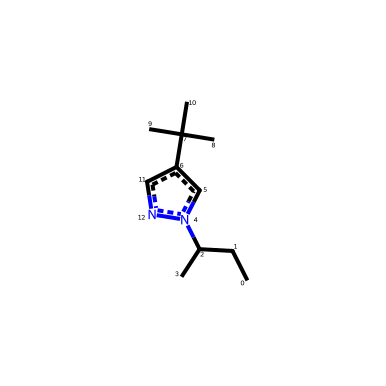 CCC(C)n1cc(C(C)(C)C)cn1